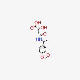 CC(NC(=O)C=C(O)C(=O)O)c1ccc2c(c1)OCO2